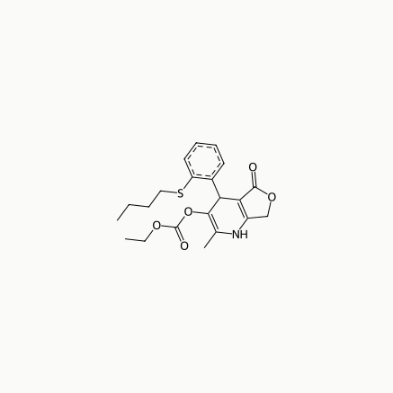 CCCCSc1ccccc1C1C(OC(=O)OCC)=C(C)NC2=C1C(=O)OC2